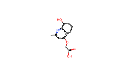 Cc1cc(OCC(=O)O)c2cccc(O)c2n1